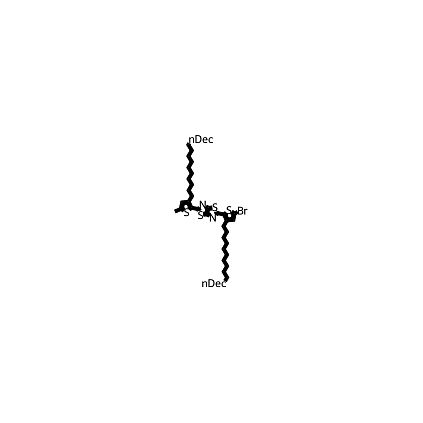 CCCCCCCCCCCCCCCCCCCCc1cc(C)sc1-c1nc2sc(-c3sc(Br)cc3CCCCCCCCCCCCCCCCCCCC)nc2s1